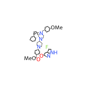 COC(=O)c1ccc(N2CCC(N3CCN(Cc4ccc(OC)cc4)C[C@H]3c3ccccc3C(C)C)CC2)cc1Oc1cnc2[nH]cc(F)c2c1